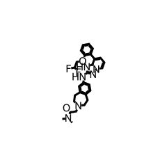 CN(C)C(=O)CN1CCc2ccc(NC3=NN4C=CC=C(c5ccccc5OCC(F)F)C4N3)cc2CC1